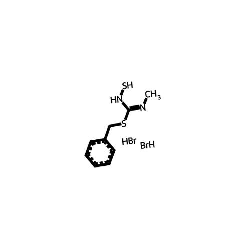 Br.Br.CN=C(NS)SCc1ccccc1